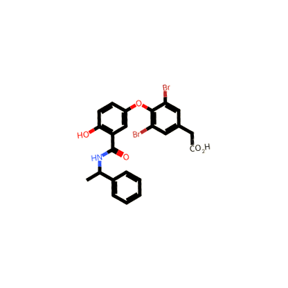 CC(NC(=O)c1cc(Oc2c(Br)cc(CC(=O)O)cc2Br)ccc1O)c1ccccc1